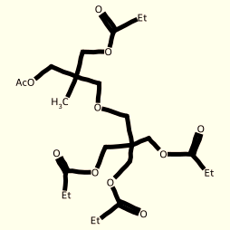 CCC(=O)OCC(C)(COCC(COC(=O)CC)(COC(=O)CC)COC(=O)CC)COC(C)=O